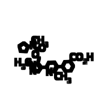 Cc1nc(-c2cnn(C)c2COC(=O)N(C)C2CCCC2)ccc1C1CCCC(C(=O)O)C1